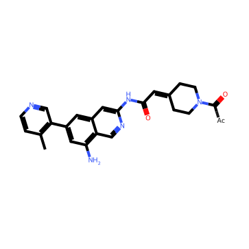 CC(=O)C(=O)N1CCC(=CC(=O)Nc2cc3cc(-c4cnccc4C)cc(N)c3cn2)CC1